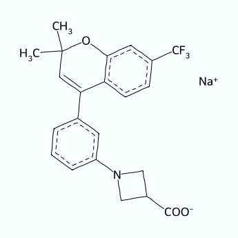 CC1(C)C=C(c2cccc(N3CC(C(=O)[O-])C3)c2)c2ccc(C(F)(F)F)cc2O1.[Na+]